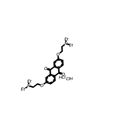 CCN(CC)CCOc1ccc2c(c1)C(=O)c1cc(OCCN(CC)CC)ccc1C2=O.Cl.Cl